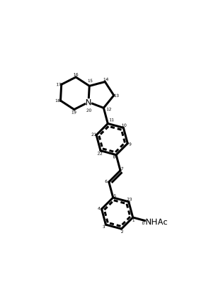 CC(=O)Nc1cccc(C=Cc2ccc(C3CCC4CCCCN43)cc2)c1